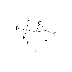 FC1OC1(C(F)(F)F)C(F)(F)F